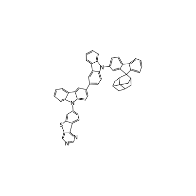 c1ccc2c(c1)-c1ccc(-n3c4ccccc4c4cc(-c5ccc6c(c5)c5ccccc5n6-c5ccc6c(c5)sc5cncnc56)ccc43)cc1C21C2CC3CC(C2)CC1C3